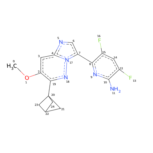 COc1cc2ncc(-c3nc(N)c(F)cc3F)n2nc1C12CC(C1)C2